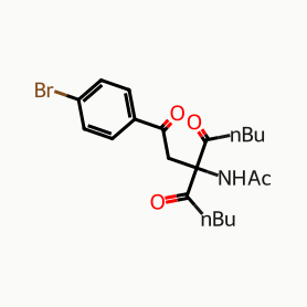 CCCCC(=O)C(CC(=O)c1ccc(Br)cc1)(NC(C)=O)C(=O)CCCC